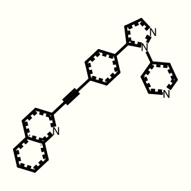 C(#Cc1ccc2ccccc2n1)c1ccc(-c2ccnn2-c2ccncc2)cc1